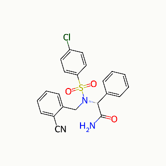 N#Cc1ccccc1CN([C@@H](C(N)=O)c1ccccc1)S(=O)(=O)c1ccc(Cl)cc1